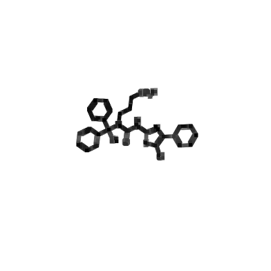 CCC(c1ccccc1)(c1ccccc1)N(CCCC(=O)O)C(=O)Nc1nc(-c2ccccc2)c(Cl)s1